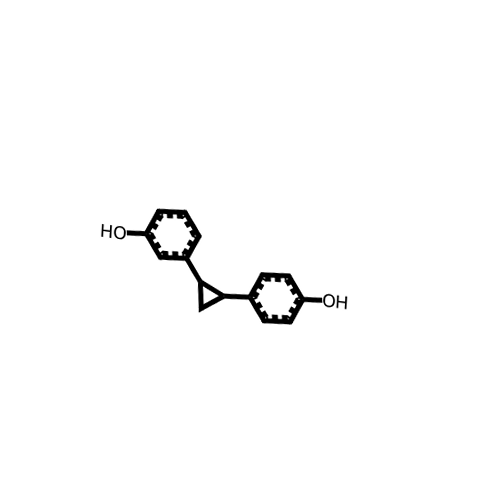 Oc1ccc(C2CC2c2cccc(O)c2)cc1